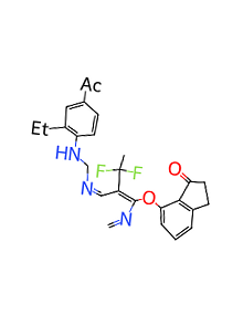 C=N/C(Oc1cccc2c1C(=O)CC2)=C(\C=N/CNc1ccc(C(C)=O)cc1CC)C(C)(F)F